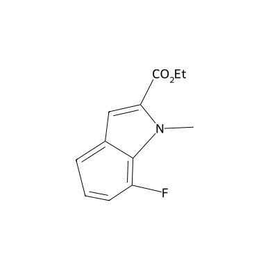 CCOC(=O)c1cc2cccc(F)c2n1C